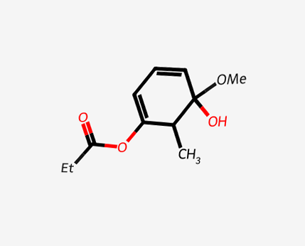 CCC(=O)OC1=CC=CC(O)(OC)C1C